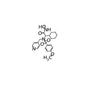 COc1ccc(S(=O)(=O)N(Cc2ccncc2)C(C(=O)NO)C2CCCCC2)cc1